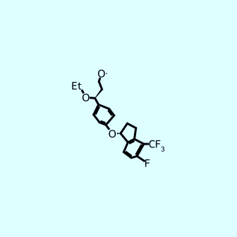 CCO[C@@H](CC[O])c1ccc(O[C@@H]2CCc3c2ccc(F)c3C(F)(F)F)cc1